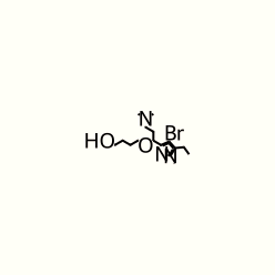 CCc1c(Br)c(C(CCN(C)C)OCCCCO)nn1C